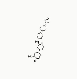 N#Cc1cc(-c2ccnc(Nc3ccc(N4CCN(C5COC5)CC4)cc3)n2)ccc1F